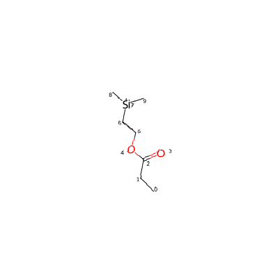 CCC(=O)OCC[Si](C)C